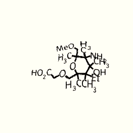 CCC1(C)C(C)(COCC(=O)O)OC(C)(COC)C(C)(N)C1(C)O